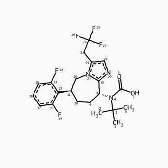 CC(C)(C)N(C(=O)O)[C@@H]1CC[C@@H](c2c(F)cccc2F)Cn2c(CC(F)(F)F)cnc21